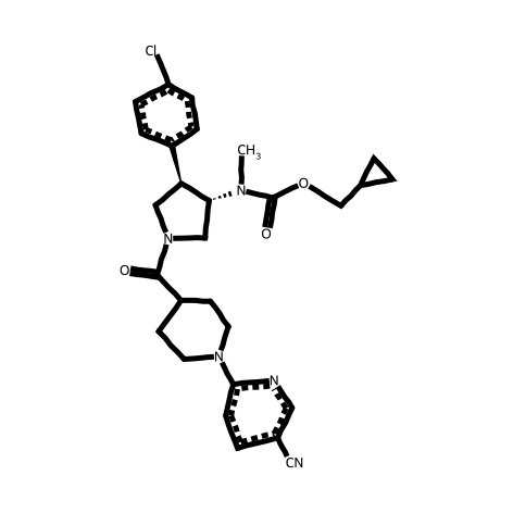 CN(C(=O)OCC1CC1)[C@@H]1CN(C(=O)C2CCN(c3ccc(C#N)cn3)CC2)C[C@H]1c1ccc(Cl)cc1